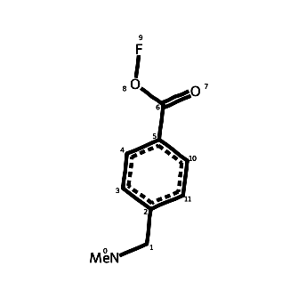 CNCc1ccc(C(=O)OF)cc1